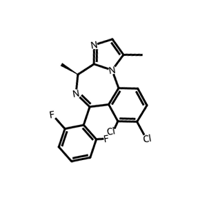 Cc1cnc2n1-c1ccc(Cl)c(Cl)c1C(c1c(F)cccc1F)=N[C@H]2C